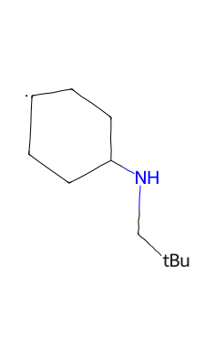 CC(C)(C)CNC1CC[CH]CC1